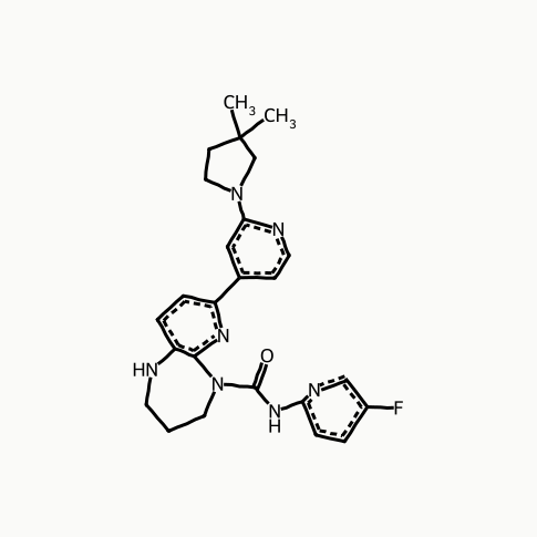 CC1(C)CCN(c2cc(-c3ccc4c(n3)N(C(=O)Nc3ccc(F)cn3)CCCN4)ccn2)C1